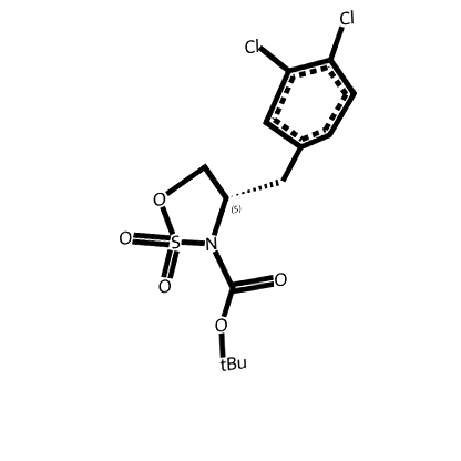 CC(C)(C)OC(=O)N1[C@@H](Cc2ccc(Cl)c(Cl)c2)COS1(=O)=O